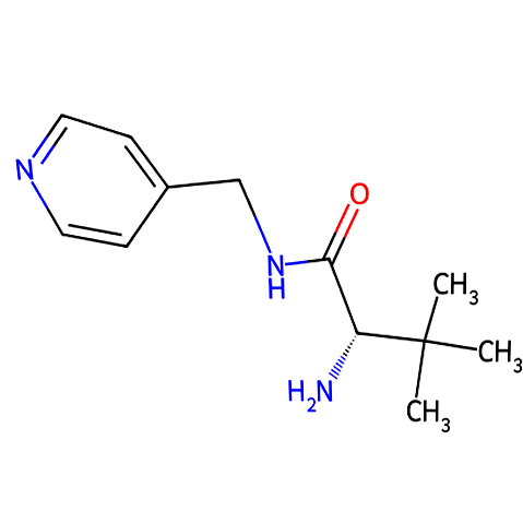 CC(C)(C)[C@H](N)C(=O)NCc1ccncc1